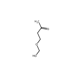 CC(=O)CCOCO